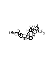 Cc1cc(C(F)(F)F)cc(N2C(=O)C[C@@H]3CN(CCN(C)[C@H]4CCN(C(=O)OC(C)(C)C)C[C@H]4F)c4c(Cl)cccc4N(C)C(=O)[C@H]32)n1